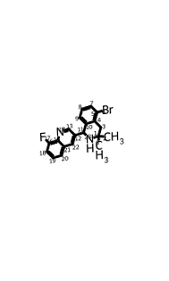 CC1(C)Cc2c(Br)cccc2C(c2cnc3c(F)cccc3c2)N1